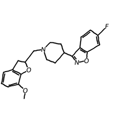 COc1cccc2c1OC(CN1CCC(c3noc4cc(F)ccc34)CC1)C2